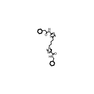 O=C(Cc1ccccc1)Nc1nnc(CCCCn2cc(C(=O)NCc3ccccc3)nn2)s1